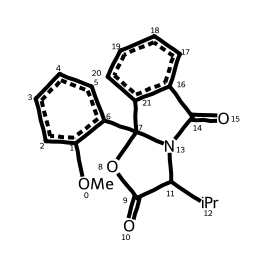 COc1ccccc1C12OC(=O)C(C(C)C)N1C(=O)c1ccccc12